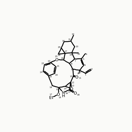 C=CC1(C)C=C(C)C2C3C1C(=O)C14OC1C(OCC)(Cc1ccc(cc1)OC3C13CC1CC(C)CC23C)NC4=O